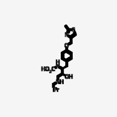 Cc1nc(COc2ccc(C[C@H](NC(=O)O)[C@@H](O)CNCC(C)C)cc2)cs1